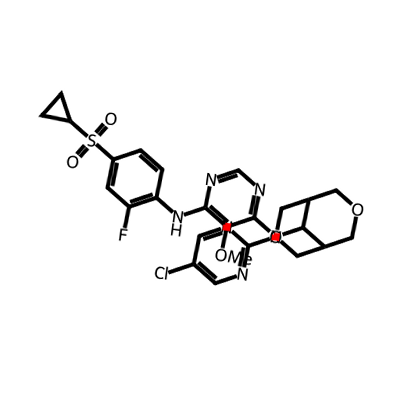 COc1c(Nc2ccc(S(=O)(=O)C3CC3)cc2F)ncnc1OC1C2COCC1CN(c1ncc(Cl)cn1)C2